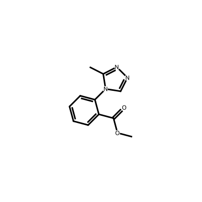 COC(=O)c1ccccc1-n1cnnc1C